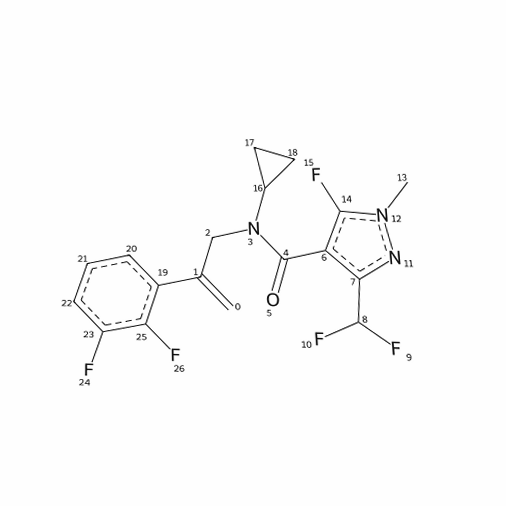 C=C(CN(C(=O)c1c(C(F)F)nn(C)c1F)C1CC1)c1cccc(F)c1F